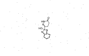 O=C1CCC(C2(O)N=c3ccccc3=N2)=NN1